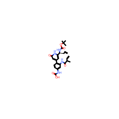 C=CC[C@H](NC(=O)OC(C)(C)C)c1cc(-c2ccc(NC(=O)O)cc2NC(=O)C(C)C=C)cc(=O)[nH]1